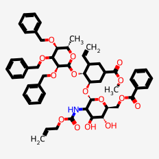 C=CCOC(=O)NC1C(O)[C@@H](O)[C@H](COC(=O)c2ccccc2)O[C@H]1O[C@@H]1CC(C(=O)OC)CC(C=C)[C@H]1OC1O[C@@H](C)[C@H](OCc2ccccc2)C(OCc2ccccc2)[C@@H]1OCc1ccccc1